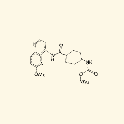 COc1ccc2nccc(NC(=O)C3CCC(NC(=O)OC(C)(C)C)CC3)c2n1